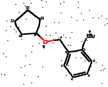 CC(C)(C)c1ccccc1COC1CCCC1